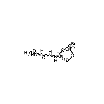 C=CC(=O)NCCNC(=O)CCNCCNC(=O)CN1CCOCCOCCN(C(=O)OC(C)(C)C)CCOCC1